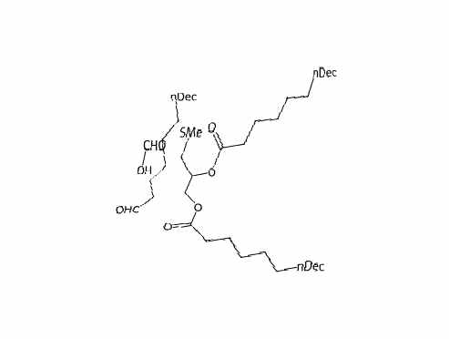 CCCCCCCCCCCCCCCC(=O)OCC(CSC)OC(=O)CCCCCCCCCCCCCCC.CCCCCCCCCCCCCCCC=O.O=CO